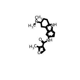 Cc1occc1C(=O)Nc1ccc2[nH]c3c(c2c1)CC(N(C)C)CC3